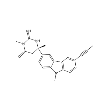 CC#Cc1ccc2c(c1)c1cc([C@]3(C)CC(=O)N(C)C(=N)N3)ccc1n2C